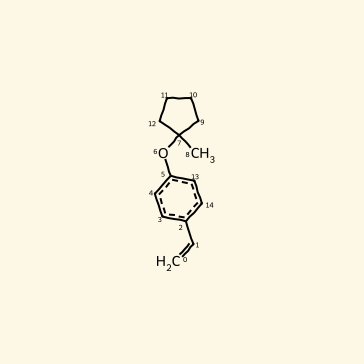 C=Cc1ccc(OC2(C)CCCC2)cc1